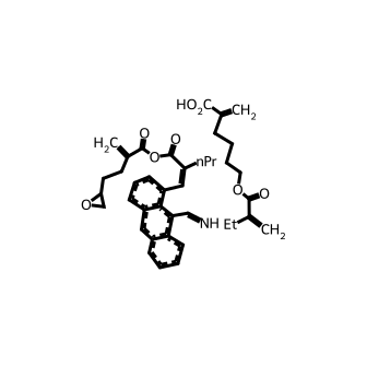 C=C(CCC1CO1)C(=O)OC(=O)C(=Cc1cccc2cc3ccccc3c(C=N)c12)CCC.C=C(CCCCOC(=O)C(=C)CC)C(=O)O